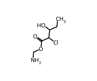 CCC(O)C(Cl)C(=O)OCN